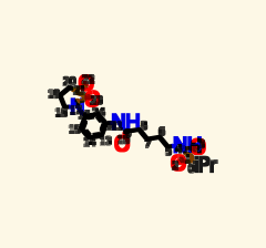 CC(C)S(=O)(=O)NCCCCC(=O)Nc1cccc(N2CCCS2(=O)=O)c1